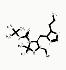 CCCC1SC=NC1C[C@H]1[C@@H](CO)OC(C)(C)N1C(=O)OC(C)(C)C